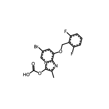 Cc1nc2c(OCc3c(F)cccc3F)cc(Br)cn2c1OC(=O)O